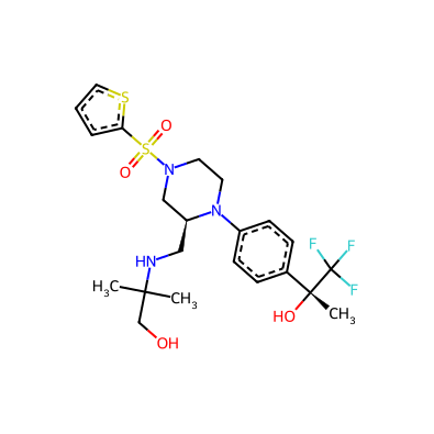 CC(C)(CO)NC[C@H]1CN(S(=O)(=O)c2cccs2)CCN1c1ccc([C@@](C)(O)C(F)(F)F)cc1